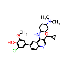 COc1cc(-c2ccc3ncc(C(=O)C4CC4)c(NC4CCC(N(C)C)CC4)c3c2)cc(Cl)c1O